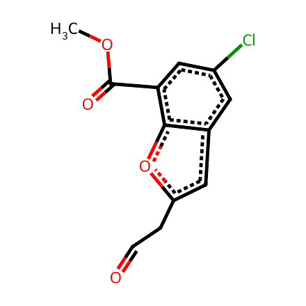 COC(=O)c1cc(Cl)cc2cc(CC=O)oc12